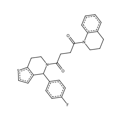 O=C(CCC(=O)N1CCc2sccc2C1c1ccc(F)cc1)N1CCCc2ccccc21